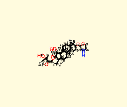 CCO[C@@H]([C@H]1C[C@@H](C)C2[C@H](O1)[C@H](O)[C@@]1(C)[C@@H]3CC[C@H]4C(C)(C)[C@@H](O[C@H]5CNCCO5)CC[C@@]45C[C@@]35CC[C@]21C)C(C)(C)O